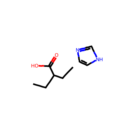 CCC(CC)C(=O)O.c1c[nH]cn1